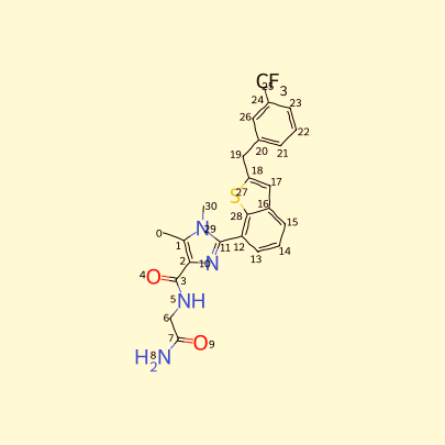 Cc1c(C(=O)NCC(N)=O)nc(-c2cccc3cc(Cc4cccc(C(F)(F)F)c4)sc23)n1C